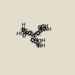 O=C(O)C(Cc1cccc(CN(Cc2cccc(CC(F)(C(=O)O)C3CCNC3)c2)Cc2cccc(CC(F)(C(=O)O)C3CCNC3)c2)c1)C1CCNC1